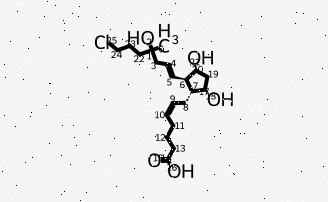 CC(O)(C/C=C/[C@@H]1[C@@H](C/C=C\CCCC(=O)O)[C@@H](O)C[C@H]1O)CCCCl